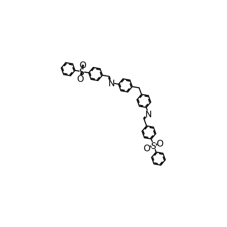 O=S(=O)(c1ccccc1)c1ccc(C=Nc2ccc(Cc3ccc(N=Cc4ccc(S(=O)(=O)c5ccccc5)cc4)cc3)cc2)cc1